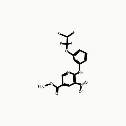 COC(=O)c1cnc(Nc2cccc(OC(F)(F)C(F)F)c2)c([N+](=O)[O-])c1